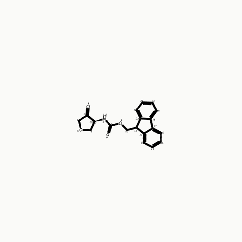 O=C(N[C@H]1COCC1=O)OCC1c2ccccc2-c2ccccc21